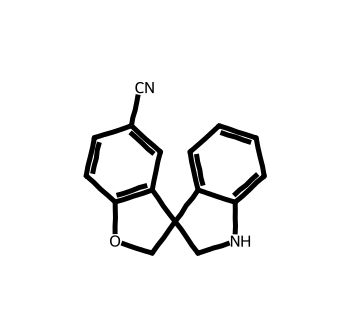 N#Cc1ccc2c(c1)C1(CNc3ccccc31)CO2